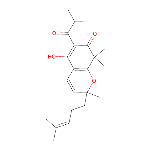 CC(C)=CCCC1(C)C=CC2=C(O1)C(C)(C)C(=O)C(C(=O)C(C)C)=C2O